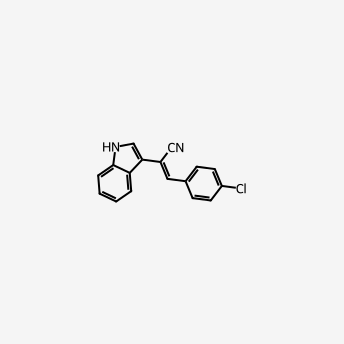 N#CC(=Cc1ccc(Cl)cc1)c1c[nH]c2ccccc12